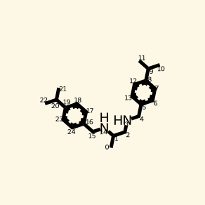 CC(CNCc1ccc(C(C)C)cc1)NCc1ccc(C(C)C)cc1